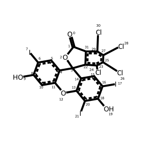 O=C1OC2(c3cc(I)c(O)cc3Oc3c2cc(I)c(O)c3I)c2c(Cl)c(Cl)c(Cl)c(Cl)c21